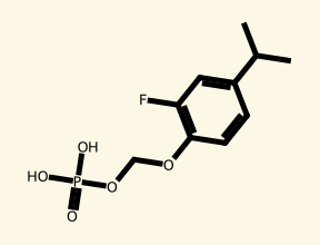 CC(C)c1ccc(OCOP(=O)(O)O)c(F)c1